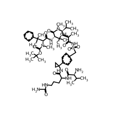 C/C(=C\[C@H](C(C)C)N(C)C(=O)[C@@H](NC(=O)[C@@H](N(C)C(=O)OC(C)(C)C)C(C)(C)c1ccccc1)C(C)(C)C)C(=O)NS(=O)(=O)Cc1ccc(C2(NC(=O)C(CCCNC(N)=O)NC(=O)[C@@H](N)C(C)C)CC2)cc1